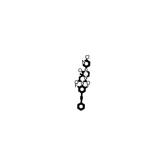 CC12CC(=O)N(c3c(F)cc(C#Cc4ccccc4)cc3F)C(=O)N1CCN(c1ccc(Cl)nc1)C2=O